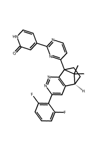 CC1(C)[C@H]2CCC1(c1ccnc(-c3cc[nH]c(=O)c3)n1)c1nnc(-c3c(F)cccc3F)cc12